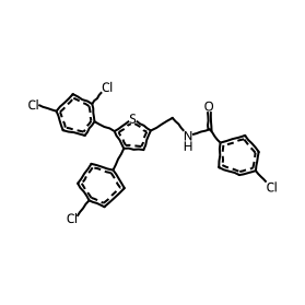 O=C(NCc1cc(-c2ccc(Cl)cc2)c(-c2ccc(Cl)cc2Cl)s1)c1ccc(Cl)cc1